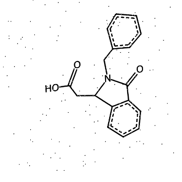 O=C(O)CC1c2ccccc2C(=O)N1Cc1ccccc1